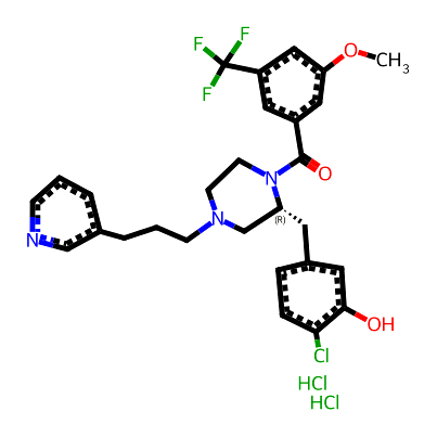 COc1cc(C(=O)N2CCN(CCCc3cccnc3)C[C@H]2Cc2ccc(Cl)c(O)c2)cc(C(F)(F)F)c1.Cl.Cl